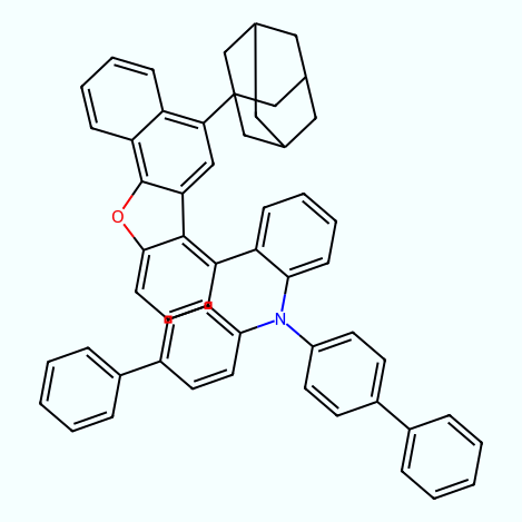 c1ccc(-c2ccc(N(c3ccc(-c4ccccc4)cc3)c3ccccc3-c3cccc4oc5c6ccccc6c(C67CC8CC(CC(C8)C6)C7)cc5c34)cc2)cc1